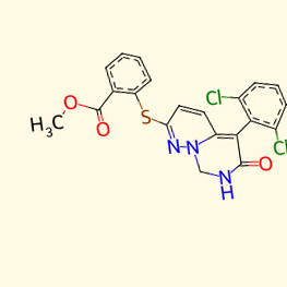 COC(=O)c1ccccc1SC1=NN2CNC(=O)C(c3c(Cl)cccc3Cl)=C2C=C1